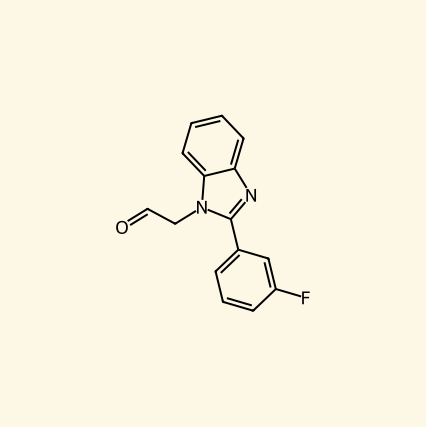 O=CCn1c(-c2cccc(F)c2)nc2ccccc21